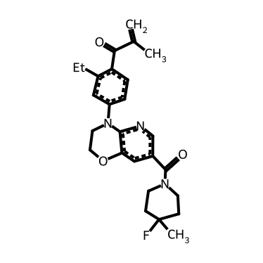 C=C(C)C(=O)c1ccc(N2CCOc3cc(C(=O)N4CCC(C)(F)CC4)cnc32)cc1CC